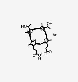 CC1=C(CCC(=O)O)c2cc3[nH]c(cc4nc(cc5[nH]c(cc1n2)c(C)c5C(C)O)C(C)=C4C(C)O)c(C)c3CCC(=O)O.[Ar]